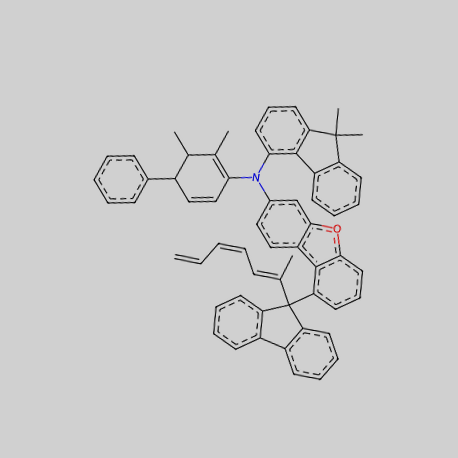 C=C/C=C\C=C(/C)C1(c2cccc3oc4cc(N(C5=C(C)C(C)C(c6ccccc6)C=C5)c5cccc6c5-c5ccccc5C6(C)C)ccc4c23)c2ccccc2-c2ccccc21